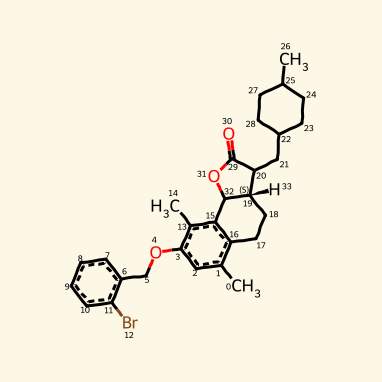 Cc1cc(OCc2ccccc2Br)c(C)c2c1CC[C@H]1C(CC3CCC(C)CC3)C(=O)OC21